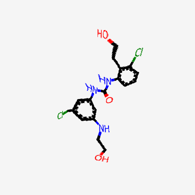 O=C(Nc1cc(Cl)cc(NCCO)c1)Nc1cccc(Cl)c1CCO